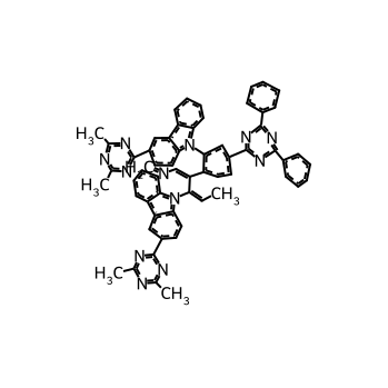 C=N/C=C(\C(=C/C)n1c2ccccc2c2cc(-c3nc(C)nc(C)n3)ccc21)c1ccc(-c2nc(-c3ccccc3)nc(-c3ccccc3)n2)cc1-n1c2ccccc2c2cc(-c3nc(C)nc(C)n3)ccc21